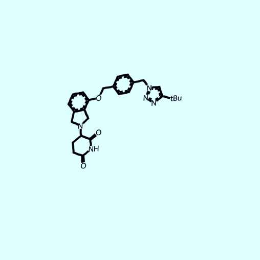 CC(C)(C)c1cn(Cc2ccc(COc3cccc4c3CN(C3CCC(=O)NC3=O)C4)cc2)nn1